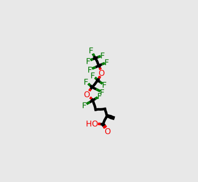 C=C(CCC(F)(F)OC(F)(F)C(F)(F)OC(F)(F)C(F)(F)F)C(=O)O